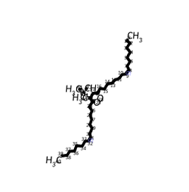 CCCCCCCC/C=C\CCCCCCCC(=O)CC(C)C(=O)CCCCCCC/C=C\CCCCCCCC.CN(C)C